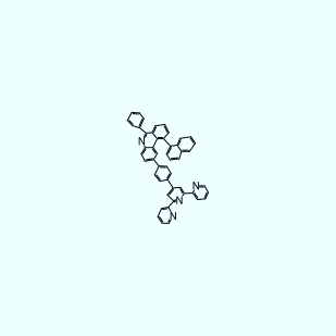 c1ccc(-c2nc3ccc(-c4ccc(-c5cc(-c6ccccn6)nc(-c6ccccn6)c5)cc4)cc3c3c(-c4cccc5ccccc45)cccc23)cc1